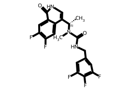 C[C@@H](c1c[nH]c(=O)c2cc(F)c(F)cc12)N(C)C(=O)NCc1cc(F)c(F)c(F)c1